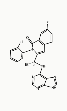 CC[C@@H](Nc1ncnc2[nH]cnc12)c1cc2ccc(F)cc2c(=O)n1-c1ccccc1Cl